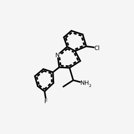 CC(N)c1cc2c(Cl)cccc2nc1-c1cccc(F)c1